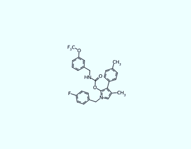 Cc1ccc(-c2c(C)cn(Cc3ccc(F)cc3)c2OC(=O)NCc2cccc(OC(F)(F)F)c2)cc1